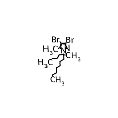 CCCCCCCC(C)(CCCC)n1nc(Br)c(Br)c1C